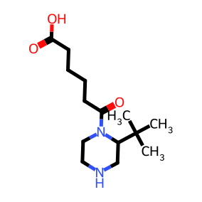 CC(C)(C)C1CNCCN1C(=O)CCCCC(=O)O